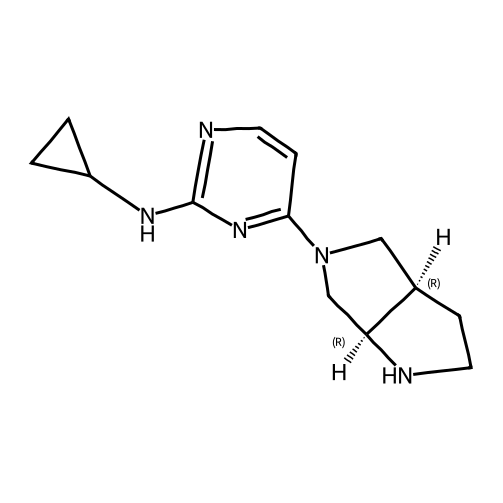 c1cc(N2C[C@H]3CCN[C@H]3C2)nc(NC2CC2)n1